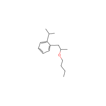 CCCCOC(C)Cc1ccccc1C(C)C